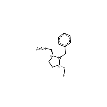 CC(=O)NC[C@@H]1CC[C@@H](CF)N1Cc1ccccc1